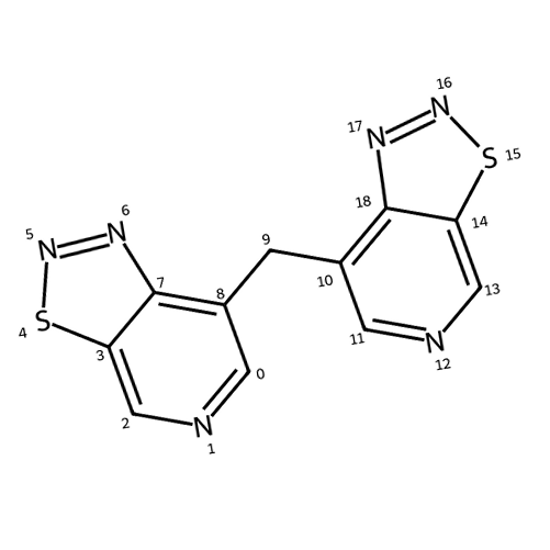 c1ncc2snnc2c1Cc1cncc2snnc12